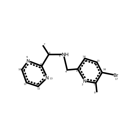 Cc1nc(CNC(C)c2ncccn2)ccc1Br